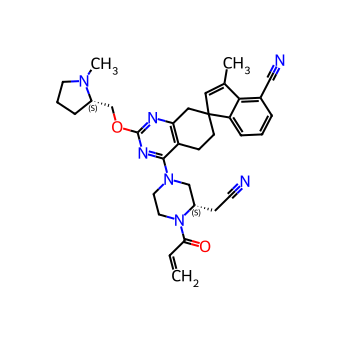 C=CC(=O)N1CCN(c2nc(OC[C@@H]3CCCN3C)nc3c2CCC2(C=C(C)c4c(C#N)cccc42)C3)C[C@@H]1CC#N